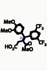 COC(=O)/C(CC(=O)O)=C(\c1cc(C(F)(F)F)cc(C(F)(F)F)c1)c1ccc(OC)c(OC)c1